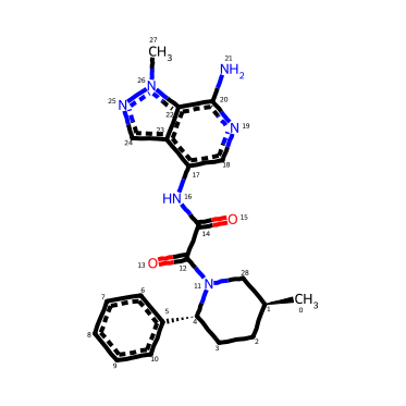 C[C@H]1CC[C@H](c2ccccc2)N(C(=O)C(=O)Nc2cnc(N)c3c2cnn3C)C1